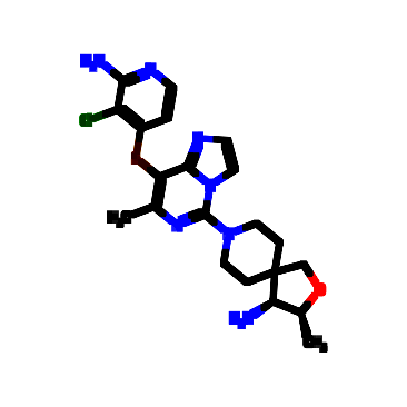 Cc1nc(N2CCC3(CC2)CO[C@@H](C)[C@H]3N)n2ccnc2c1Sc1ccnc(N)c1Cl